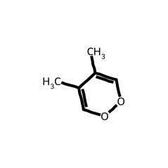 CC1=COOC=C1C